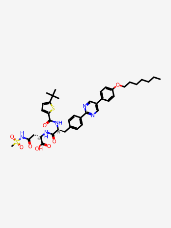 CCCCCCCOc1ccc(-c2cnc(-c3ccc(C[C@H](NC(=O)c4ccc(C(C)(C)C)s4)C(=O)N[C@@H](CC(=O)NS(C)(=O)=O)C(=O)O)cc3)nc2)cc1